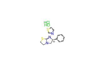 Cl.Cl.c1ccc([C@H]2CN3CCSC3=N2)cc1.c1cscn1